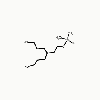 CC(C)(C)[Si](C)(C)OCCN(CCCO)CCCO